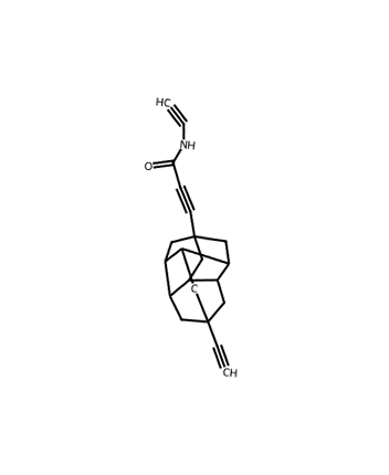 C#CNC(=O)C#CC12CC3C4CC5(C#C)CC3C(C1)C(C5)C4C2